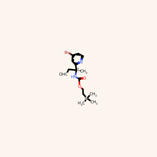 C[C@@](CC=O)(NC(=O)OCC[Si](C)(C)C)c1cc(Br)ccn1